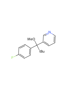 COC(c1ccc(F)cc1)(c1cccnc1)C(C)(C)C